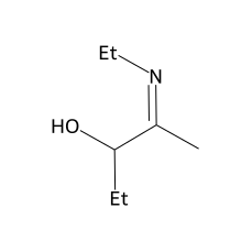 CCN=C(C)C(O)CC